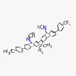 Cc1ccc(-c2ccc3c(c2)/C(=N/C#N)c2cc4c(cc2-3)C(C)(C)c2cc3c(cc2-4)/C(=N\C#N)c2cc(-c4ccc(C(F)(F)F)cc4)ccc2-3)cc1